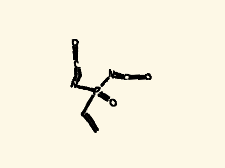 C=CP(=O)(N=C=O)N=C=O